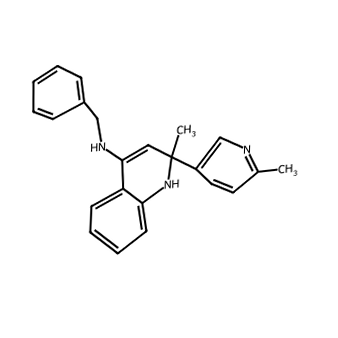 Cc1ccc(C2(C)C=C(NCc3ccccc3)c3ccccc3N2)cn1